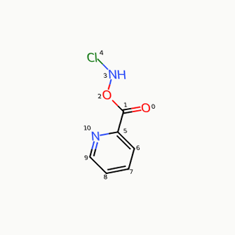 O=C(ONCl)c1ccccn1